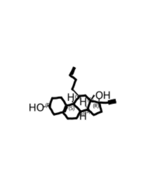 C#C[C@@]1(O)CC[C@H]2[C@@H]3CCC4=C(CC[C@@H](O)C4)[C@H]3[C@@H](CCC=C)C[C@@]21C